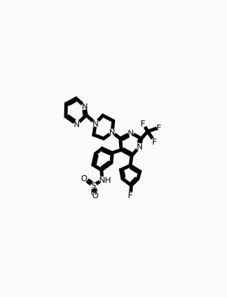 O=[SH](=O)Nc1cccc(-c2c(-c3ccc(F)cc3)nc(C(F)(F)F)nc2N2CCN(c3ncccn3)CC2)c1